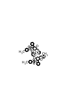 Cc1ccc(S(=O)(=O)n2c3c(c4ccccc42)C(=O)C(Cn2ccnc2C)CC3OC(=O)/C=C\C(=O)OC2CC(Cn3ccnc3C)C(=O)c3c2n(S(=O)(=O)c2ccc(C)cc2)c2ccccc32)cc1